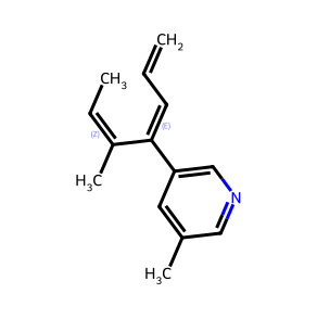 C=C/C=C(\C(C)=C/C)c1cncc(C)c1